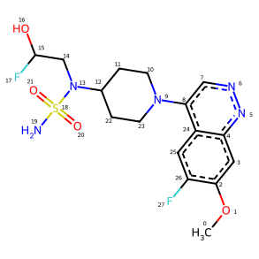 COc1cc2nncc(N3CCC(N(CC(O)F)S(N)(=O)=O)CC3)c2cc1F